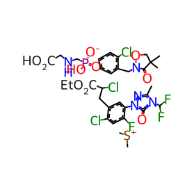 CC1(C)CON(Cc2ccccc2Cl)C1=O.CCOC(=O)C(Cl)Cc1cc(-n2nc(C)n(C(F)F)c2=O)c(F)cc1Cl.C[S+](C)C.O=C(O)CNCP(=O)([O-])O